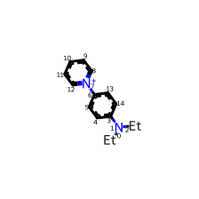 CCN(CC)c1ccc(-[n+]2ccccc2)cc1